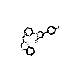 O=C1C=C(c2ccc(F)cc2)CN1C1CCCN(CC2COc3ccccc3O2)C1